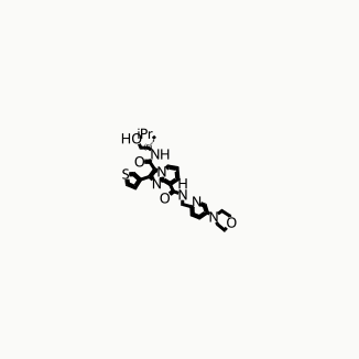 CC(C)C[C@@H](CO)NC(=O)c1c(-c2ccsc2)nc2c(C(=O)NCc3ccc(N4CCOCC4)cn3)cccn12